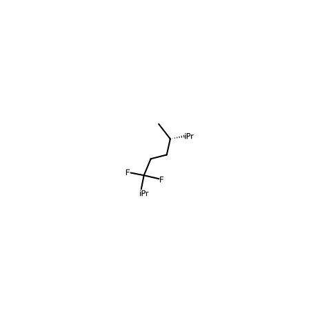 CC(C)[C@@H](C)CCC(F)(F)C(C)C